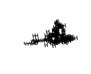 CCCCCCc1ccc(NC(=O)NCCCCCCNC(=O)Oc2cc(O)c3c(c2)[C@@H](C(=O)O)NC(=O)[C@H]2NC(=O)[C@H](NC(=O)[C@@H]4NC(=O)[C@H](CC(N)=O)NC(=O)[C@H](NC(=O)[C@@H](CC(C)C)NC)[C@H](O)c5ccc(c(C)c5)Oc5cc4cc(c5O[C@@H]4O[C@H](CO)[C@@H](O)[C@H](O)[C@H]4O[C@H]4C[C@](C)(N)[C@H](O)[C@H](C)O4)Oc4ccc(cc4Cl)[C@H]2O)c2ccc(O)c-3c2)cc1